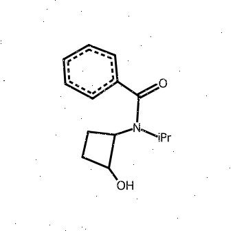 CC(C)N(C(=O)c1ccccc1)C1CCC1O